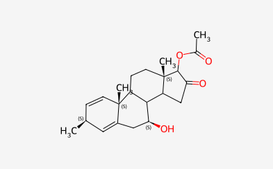 CC(=O)OC1C(=O)CC2C3C(CC[C@]12C)[C@@]1(C)C=C[C@H](C)C=C1C[C@@H]3O